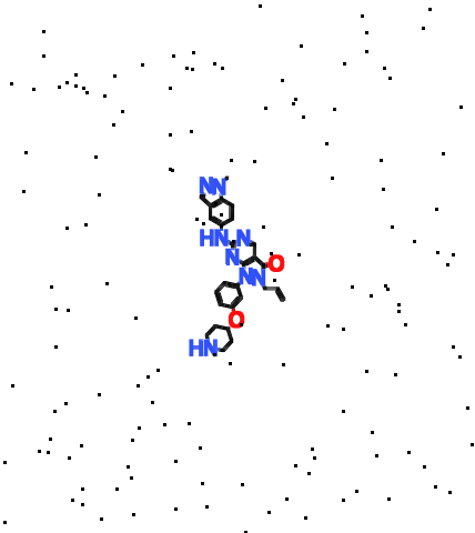 C=CCn1c(=O)c2cnc(Nc3ccc4c(cnn4C)c3)nc2n1-c1cccc(OC2CCNCC2)c1